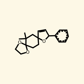 CC1(C)CC2(C=CC(c3ccccc3)O2)CCC12OCCO2